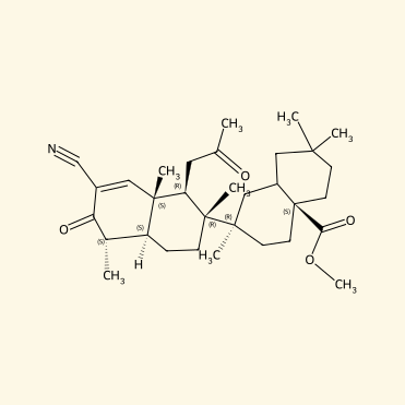 COC(=O)[C@]12CCC(C)(C)CC1C[C@](C)([C@]1(C)CC[C@H]3[C@H](C)C(=O)C(C#N)=C[C@]3(C)[C@H]1CC(C)=O)CC2